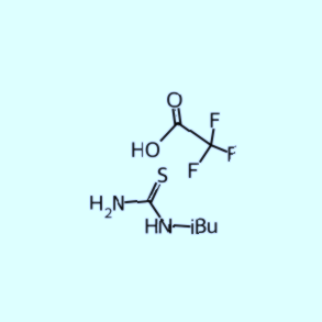 CCC(C)NC(N)=S.O=C(O)C(F)(F)F